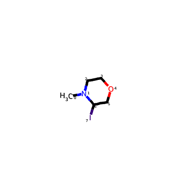 CN1CCOCC1I